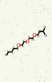 CCCCCOCCOCCOCCC(C)C